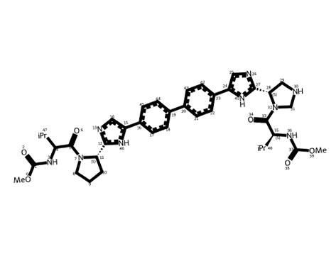 COC(=O)NC(C(=O)N1CCC[C@H]1c1ncc(-c2ccc(-c3ccc(-c4cnc([C@@H]5CNCN5C(=O)[C@@H](NC(=O)OC)C(C)C)[nH]4)cc3)cc2)[nH]1)C(C)C